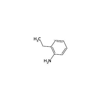 CCc1[c]cccc1N